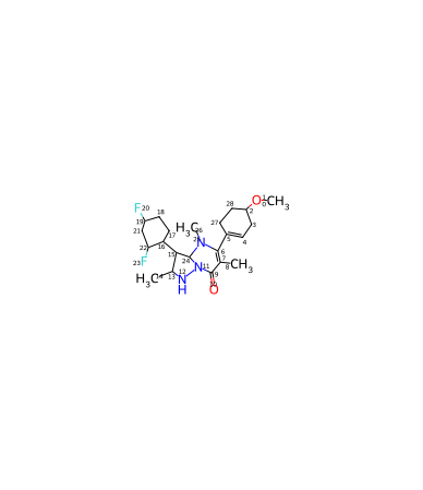 COC1CC=C(C2=C(C)C(=O)N3NC(C)C(C4CCC(F)CC4F)C3N2C)CC1